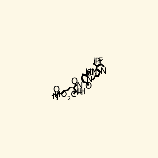 CC(C)Cc1c(F)cnc2cc(Cn3c(Cl)ccc(NC(=O)[C@H](CC/C=C/C(=O)N(C)C)NC(=O)O)c3=O)[nH]c12